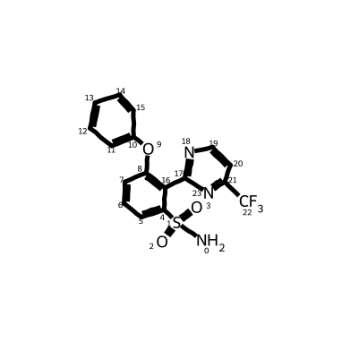 NS(=O)(=O)c1cccc(Oc2ccccc2)c1-c1nccc(C(F)(F)F)n1